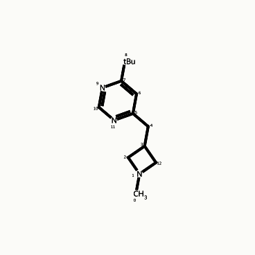 CN1CC(Cc2cc(C(C)(C)C)ncn2)C1